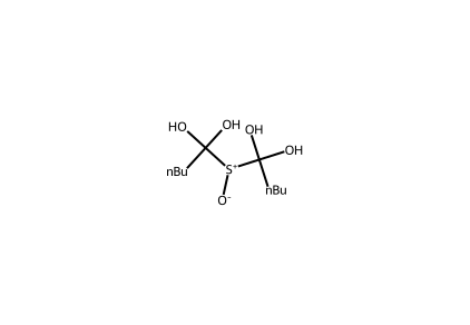 CCCCC(O)(O)[S+]([O-])C(O)(O)CCCC